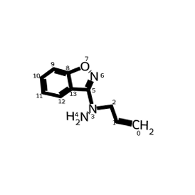 C=CCN(N)c1noc2ccccc12